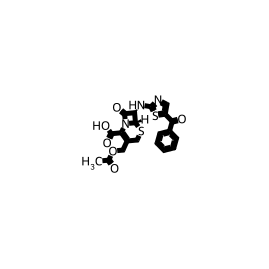 CC(=O)OCC1=C(C(=O)O)N2C(=O)[C@H](Nc3ncc(C(=O)c4ccccc4)s3)[C@@H]2SC1